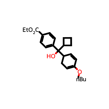 CCCCOC1=CCC(C(O)(c2ccc(C(=O)OCC)cc2)C2CCC2)C=C1